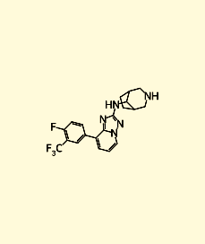 Fc1ccc(-c2cccn3nc(NC4C5CCC4CNC5)nc23)cc1C(F)(F)F